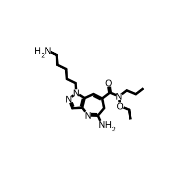 CCCN(OCC)C(=O)C1=Cc2c(cnn2CCCCCN)N=C(N)C1